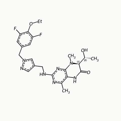 CCOc1c(F)cc(Cn2cc(CNc3nc(C)c4c(n3)N(C)[C@@H]([C@@H](C)O)C(=O)N4)cn2)cc1F